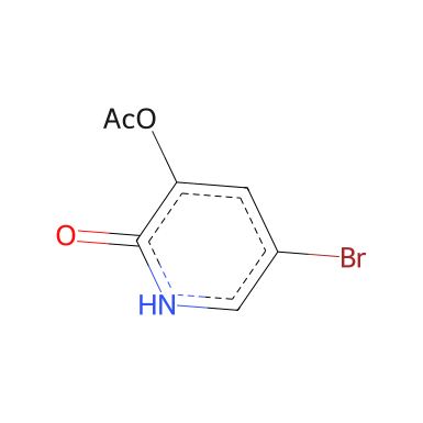 CC(=O)Oc1cc(Br)c[nH]c1=O